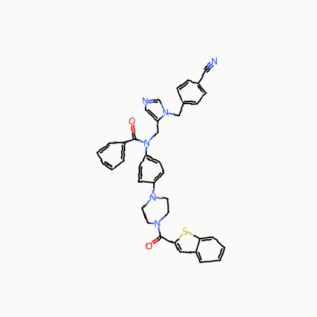 N#Cc1ccc(Cn2cncc2CN(C(=O)c2ccccc2)c2ccc(N3CCN(C(=O)c4cc5ccccc5s4)CC3)cc2)cc1